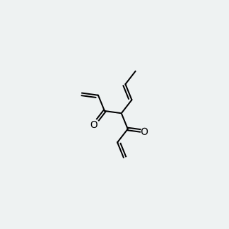 C=CC(=O)C(C=CC)C(=O)C=C